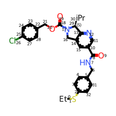 CCSc1ccc(CNC(=O)c2cnc3c(c2)CN(C(=O)OCc2ccc(Cl)cc2)[C@H]3C(C)C)cc1